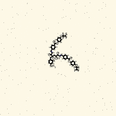 Nc1ccc(CC(O)(CC(O)C(=O)/C=C/c2ccc(C(=O)Oc3ccc(OC(F)(F)C(F)F)cc3)cc2)C(=O)/C=C/c2ccc(C(=O)Oc3ccc(OC(F)(F)C(F)F)cc3)cc2)cc1